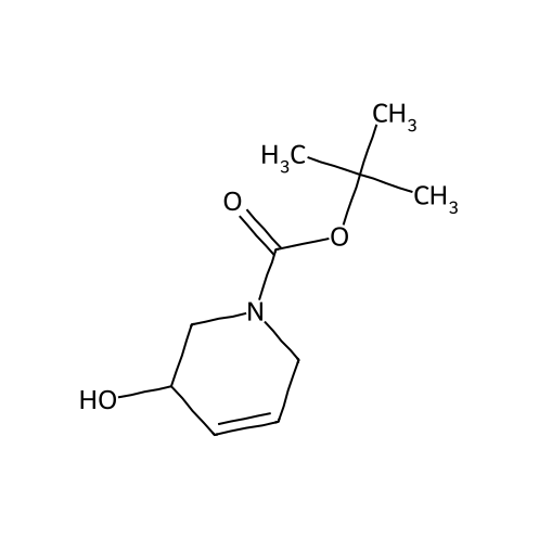 CC(C)(C)OC(=O)N1CC=CC(O)C1